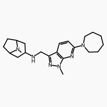 CN1C2CCC1CC(NCc1nn(C)c3nc(N4CCCCCC4)ccc13)C2